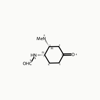 CN[C@@H]1CC(=O)CC[C@@H]1NC=O